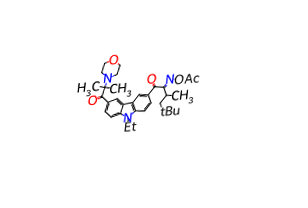 CCn1c2ccc(C(=O)/C(=N/OC(C)=O)C(C)CC(C)(C)C)cc2c2cc(C(=O)C(C)(C)N3CCOCC3)ccc21